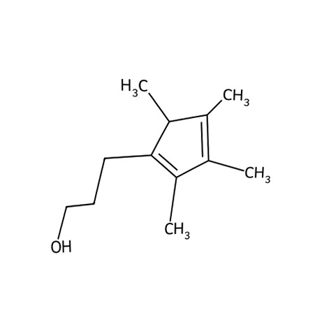 CC1=C(C)C(C)C(CCCO)=C1C